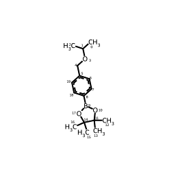 CC(C)OCc1ccc(B2OC(C)(C)C(C)(C)O2)cc1